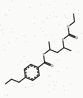 CCCc1ccc(C(=O)SC(C)CC(C)SC(=O)OCC)cc1